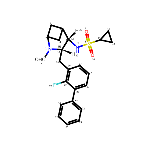 O=CN1C2CC(C2)[C@H](NS(=O)(=O)C2CC2)[C@@H]1Cc1cccc(-c2ccccc2)c1F